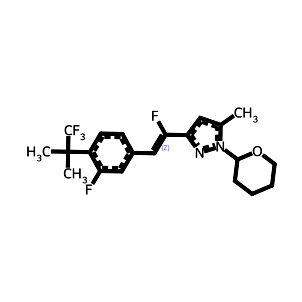 Cc1cc(/C(F)=C/c2ccc(C(C)(C)C(F)(F)F)c(F)c2)nn1C1CCCCO1